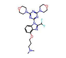 CN(C)CCCOc1cccc2c1nc(C(F)F)n2-c1nc(N2CCOCC2)nc(N2CCOCC2)n1